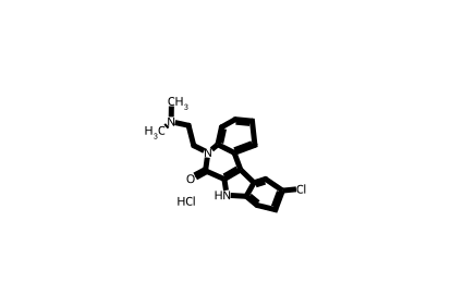 CN(C)CCn1c(=O)c2[nH]c3ccc(Cl)cc3c2c2ccccc21.Cl